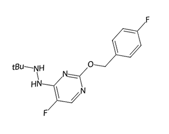 CC(C)(C)NNc1nc(OCc2ccc(F)cc2)ncc1F